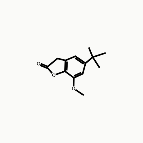 COc1cc(C(C)(C)C)cc2c1OC(=O)C2